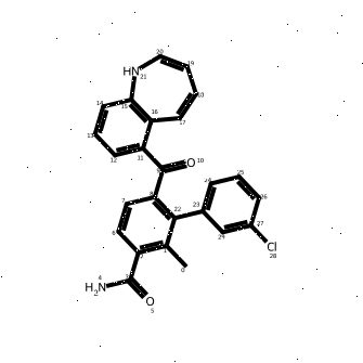 Cc1c(C(N)=O)ccc(C(=O)c2cccc3c2C=CC=CN3)c1-c1cccc(Cl)c1